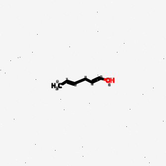 C/C=C/CC=CO